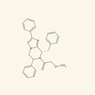 COCC(=O)N1C(c2ccccc2)Cn2cc(-c3ccccc3)nc2[C@@H]1Cc1ccccc1